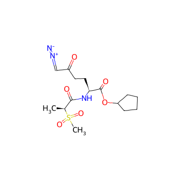 C[C@@H](C(=O)N[C@@H](CCC(=O)C=[N+]=[N-])C(=O)OC1CCCC1)S(C)(=O)=O